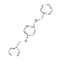 c1ccc(COc2ccc(OCc3ccccc3)cc2)cc1